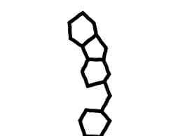 C1CCC(CC2CCC3C(C2)CC2CCCCC23)CC1